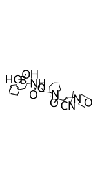 CC(C)(C=C(C#N)C(=O)N1CCCCC1(C)COC(=O)N[C@@H](Cc1ccccc1)B(O)O)N1CCOCC1